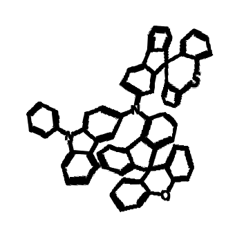 c1ccc(-n2c3ccccc3c3cc(N(c4ccc5c(c4)C4(c6ccccc6Sc6ccccc64)c4ccccc4-5)c4cccc5c4-c4ccccc4C54c5ccccc5Oc5ccccc54)ccc32)cc1